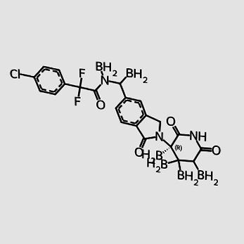 BC(c1ccc2c(c1)CN([C@@]1(B)C(=O)NC(=O)C(B)C1(B)B)C2=O)N(B)C(=O)C(F)(F)c1ccc(Cl)cc1